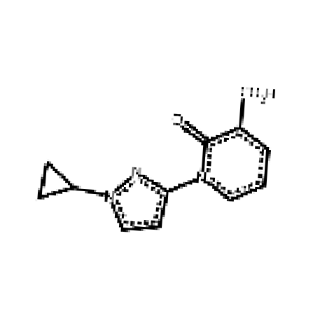 O=C(O)c1cccn(-c2ccn(C3CC3)n2)c1=O